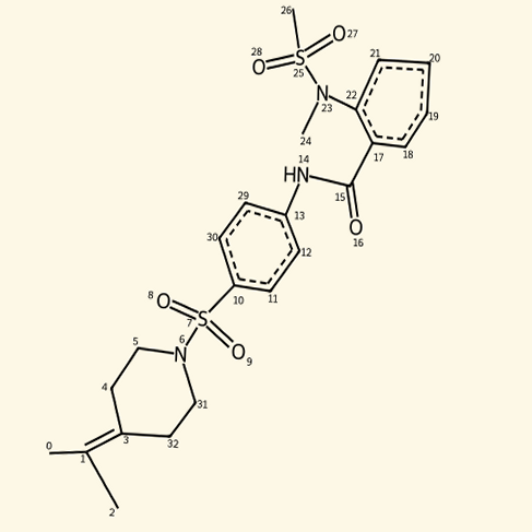 CC(C)=C1CCN(S(=O)(=O)c2ccc(NC(=O)c3ccccc3N(C)S(C)(=O)=O)cc2)CC1